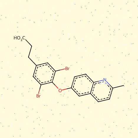 Cc1ccc2cc(Oc3c(Br)cc(CCC(=O)O)cc3Br)ccc2n1